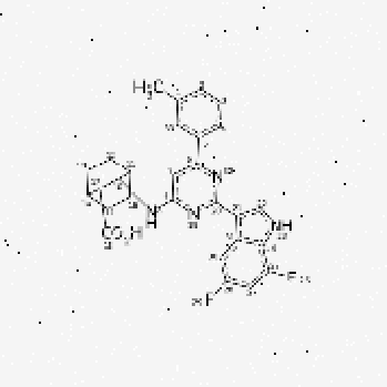 Cc1cccc(-c2cc(NC3C4CCC(CC4)C3C(=O)O)nc(-c3c[nH]c4c(F)cc(F)cc34)n2)c1